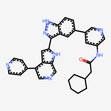 O=C(CC1CCCCC1)Nc1cncc(-c2ccc3[nH]nc(-c4cc5c(-c6ccncc6)cncc5[nH]4)c3c2)c1